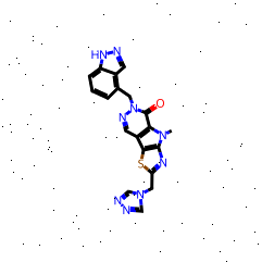 Cn1c2nc(Cn3cnnc3)sc2c2cnn(Cc3cccc4[nH]ncc34)c(=O)c21